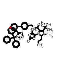 CCCC1N(C)C(C(C)(C)O)=C(C(=O)OCc2ccc(-c3ccccc3-c3nnnn3C(c3ccccc3)(c3ccccc3)c3ccccc3)cc2)N1c1oc(=O)oc1C